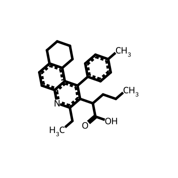 CCCC(C(=O)O)c1c(CC)nc2ccc3c(c2c1-c1ccc(C)cc1)CCCC3